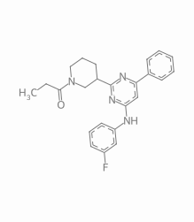 CCC(=O)N1CCCC(c2nc(Nc3cccc(F)c3)cc(-c3ccccc3)n2)C1